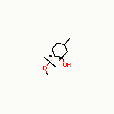 COC(C)(C)[C@@H]1CCC(C)C[C@H]1O